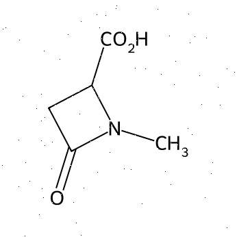 CN1C(=O)CC1C(=O)O